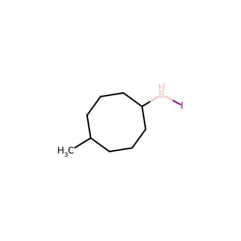 CC1CCCC(BI)CCC1